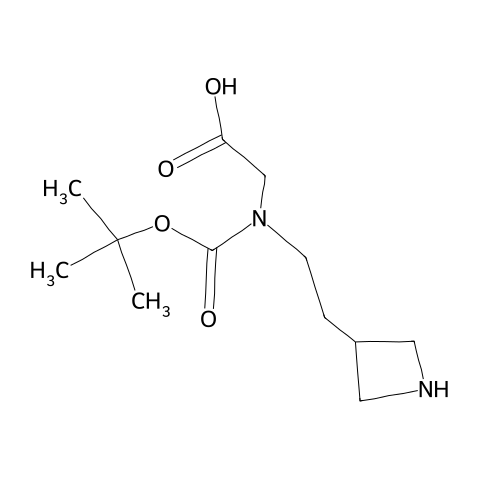 CC(C)(C)OC(=O)N(CCC1CNC1)CC(=O)O